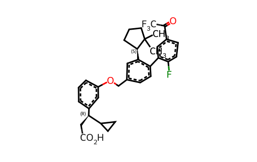 CC1(C)CCC[C@@H]1c1cc(COc2cccc([C@H](CC(=O)O)C3CC3)c2)ccc1-c1cc(C(=O)C(F)(F)F)ccc1F